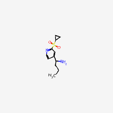 CCCC(N)c1ccnc(S(=O)(=O)C2CC2)c1